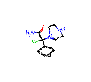 NC(=O)C(Cl)(c1ccccc1)N1CCNCC1